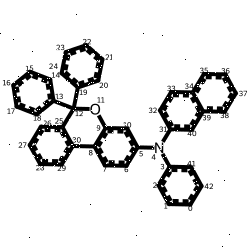 c1ccc(N(c2ccc3c(c2)OC(c2ccccc2)(c2ccccc2)c2ccccc2-3)c2ccc3ccccc3c2)cc1